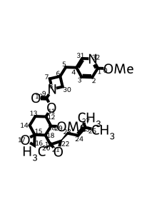 COc1ccc(CC2CN(C(=O)OC3CCC4(CO4)C([C@@]4(C)O[C@@H]4CC=C(C)C)C3OC)C2)cn1